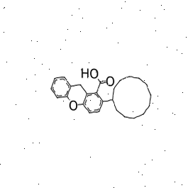 O=C(O)c1c(C2CCCCCCCCCCC2)ccc2c1Cc1ccccc1O2